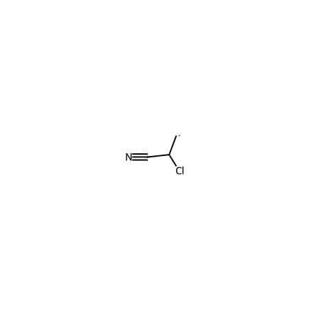 [CH2]C(Cl)C#N